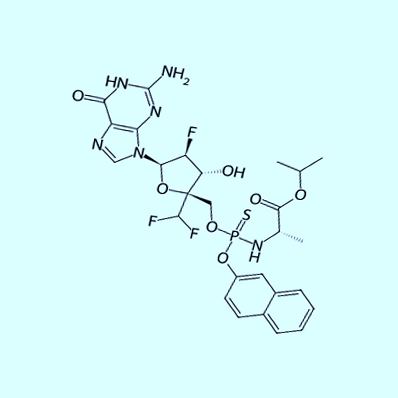 CC(C)OC(=O)[C@H](C)NP(=S)(OC[C@@]1(C(F)F)O[C@@H](n2cnc3c(=O)[nH]c(N)nc32)[C@@H](F)[C@@H]1O)Oc1ccc2ccccc2c1